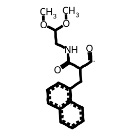 COC(CNC(=O)C([C]=O)Cc1cccc2ccccc12)OC